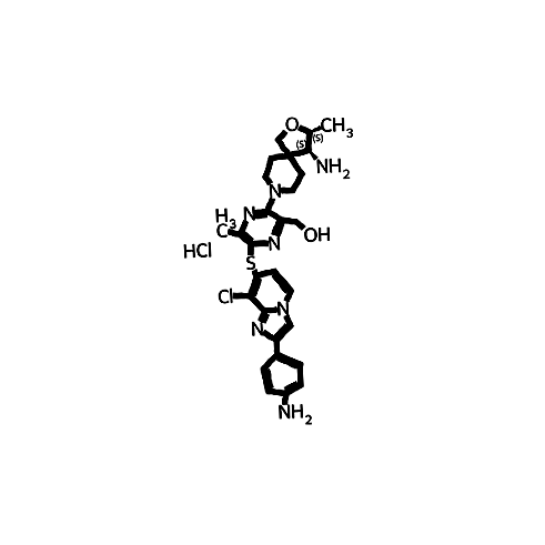 Cc1nc(N2CCC3(CC2)CO[C@@H](C)[C@H]3N)c(CO)nc1Sc1ccn2cc(-c3ccc(N)cc3)nc2c1Cl.Cl